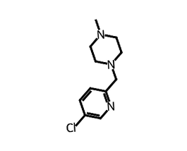 CN1CCN(Cc2ccc(Cl)cn2)CC1